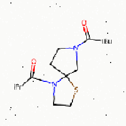 CC(C)C(=O)N1CCSC12CCN(C(=O)C(C)(C)C)C2